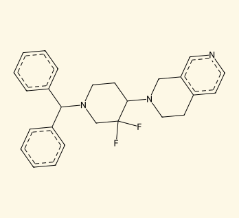 FC1(F)CN(C(c2ccccc2)c2ccccc2)CCC1N1CCc2ccncc2C1